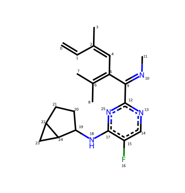 C=C/C(C)=C\C(=C(C)C)/C(=N\C)c1ncc(F)c(NC2CCC3CC32)n1